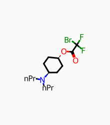 CCCN(CCC)[C@H]1CC[C@H](OC(=O)C(F)(F)Br)CC1